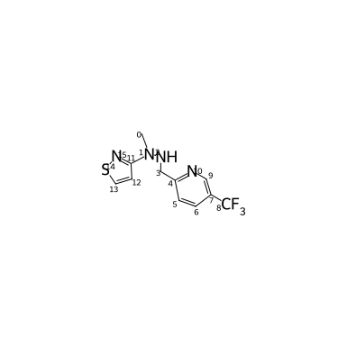 CN(NCc1ccc(C(F)(F)F)cn1)c1ccsn1